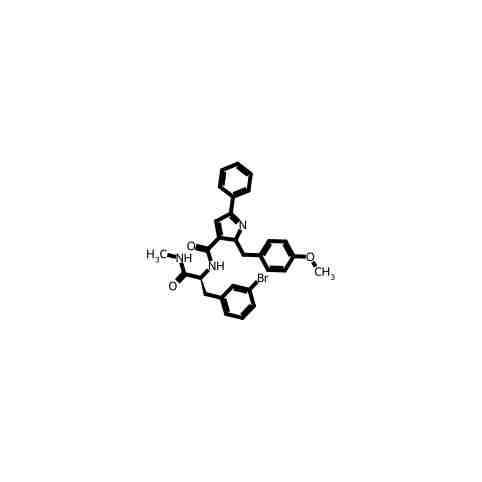 CNC(=O)[C@H](Cc1cccc(Br)c1)NC(=O)C1=CC(c2ccccc2)=NC1Cc1ccc(OC)cc1